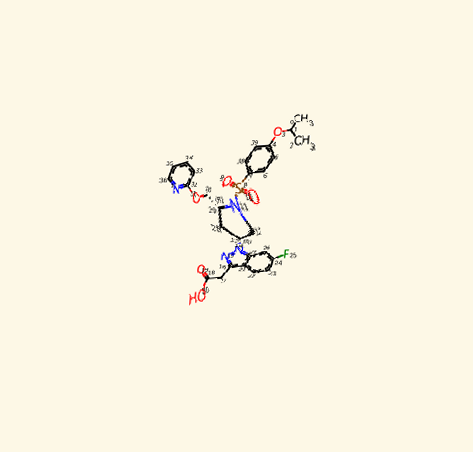 CC(C)Oc1ccc(S(=O)(=O)N2C[C@H](n3nc(CC(=O)O)c4ccc(F)cc43)C[C@@H]2COc2ccccn2)cc1